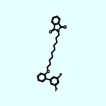 O=C1c2ccccc2C(=O)N1CCCCCCCCCCOc1ccccc1-c1cc(F)cc(F)c1